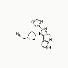 N#CC[C@H]1CC[C@H](n2c(-c3cocn3)nc3cnc4[nH]ccc4c32)CC1